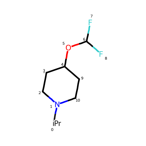 CC(C)N1C[CH]C(OC(F)F)CC1